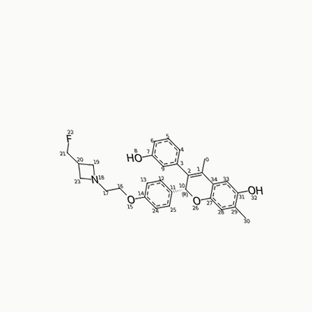 CC1=C(c2cccc(O)c2)[C@@H](c2ccc(OCCN3CC(CF)C3)cc2)Oc2cc(C)c(O)cc21